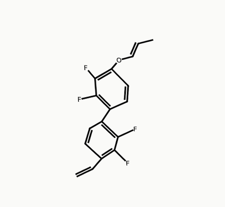 C=Cc1ccc(-c2ccc(O/C=C/C)c(F)c2F)c(F)c1F